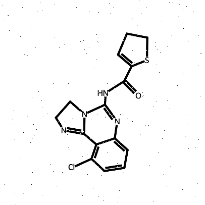 O=C(NC1=Nc2cccc(Cl)c2C2=NCCN12)C1=CCCS1